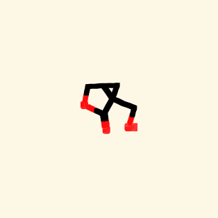 O=C1OCC2CC12CO